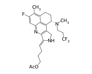 CC(=O)OCCC/C=C1\NCc2c1nc1cc(F)c(C)c3c1c2[C@@H](N(C)CCC(F)(F)F)CC3